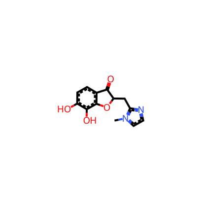 Cn1ccnc1CC1Oc2c(ccc(O)c2O)C1=O